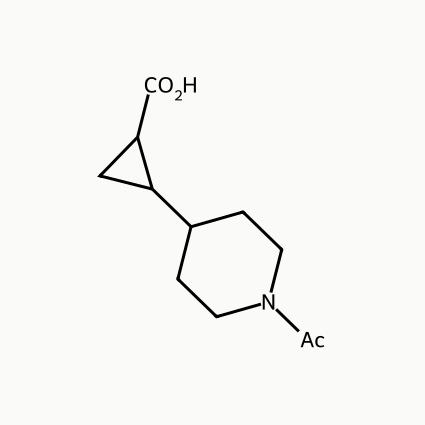 CC(=O)N1CCC(C2CC2C(=O)O)CC1